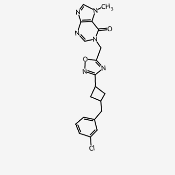 Cn1cnc2ncn(Cc3nc(C4CC(Cc5cccc(Cl)c5)C4)no3)c(=O)c21